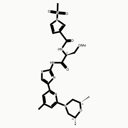 COC[C@H](NC(=O)c1ccn(S(C)(=O)=O)c1)C(=O)Nc1nc(-c2cc(C)cc(N3C[C@@H](C)O[C@@H](C)C3)n2)cs1